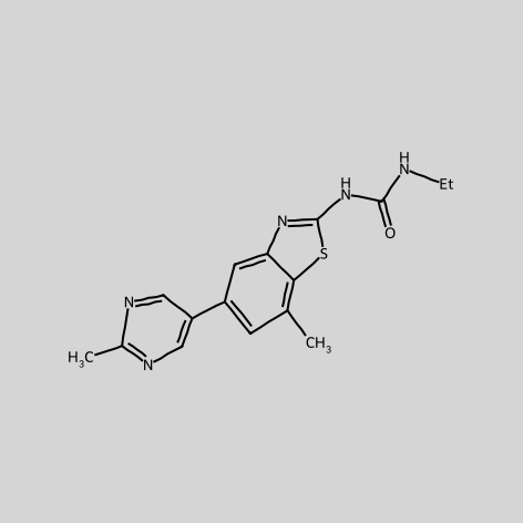 CCNC(=O)Nc1nc2cc(-c3cnc(C)nc3)cc(C)c2s1